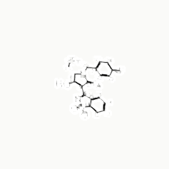 CC(C)C[C@H]1C(O)=C(C2=NS(=O)(=O)c3ccccc32)C(=O)N1Cc1ccc(F)cc1